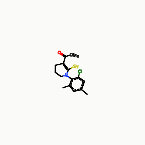 COC(=O)C1=C(S)N(c2c(C)cc(C)cc2Cl)CCC1